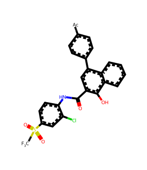 CC(=O)c1ccc(-c2cc(C(=O)Nc3ccc(S(=O)(=O)C(F)(F)F)cc3Cl)c(O)c3ccccc23)cc1